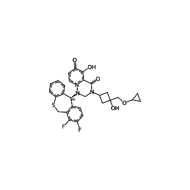 O=C1c2c(O)c(=O)ccn2N([C@@H]2c3ccccc3SCc3c2ccc(F)c3F)CN1C1CC(O)(COC2CC2)C1